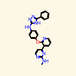 CNc1nccc(-c2cccnc2Oc2ccc(Nc3nnc(-c4ccccc4)[nH]3)cc2)n1